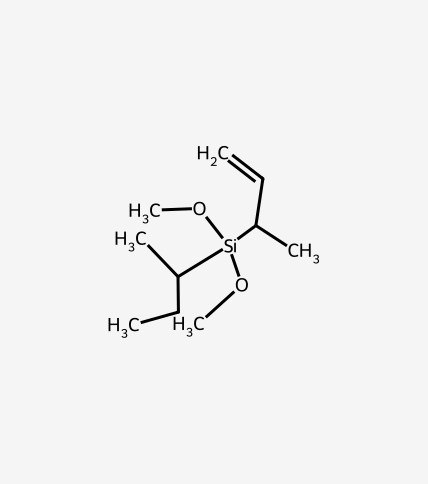 C=CC(C)[Si](OC)(OC)C(C)CC